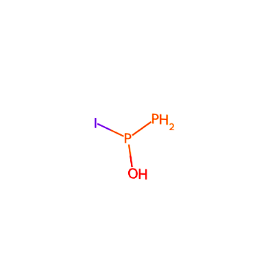 OP(P)I